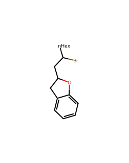 CCCCCCC(Br)CC1Cc2ccccc2O1